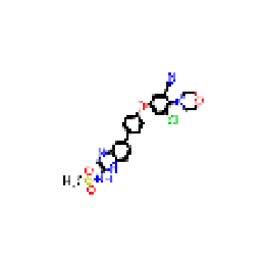 CS(=O)(=O)Nc1cnc2cc(-c3ccc(Oc4cc(Cl)c(N5CCOCC5)c(C#N)c4)cc3)ccc2n1